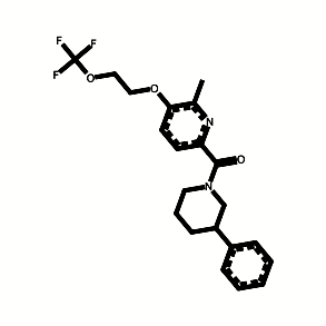 Cc1nc(C(=O)N2CCCC(c3ccccc3)C2)ccc1OCCOC(F)(F)F